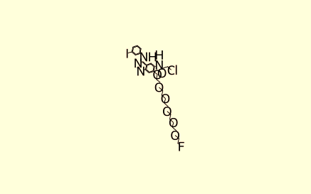 O=C(CCl)Nc1cc2c(Nc3cccc(I)c3)ncnc2cc1OCCOCCOCCOCCOCCOCCF